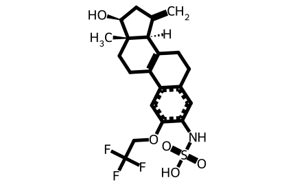 C=C1C[C@H](O)[C@@]2(C)CCC3=C(CCc4cc(NS(=O)(=O)O)c(OCC(F)(F)F)cc43)[C@H]12